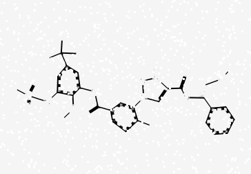 COC[C@@H](NC(=O)C1=CN(c2cc(C(=O)Nc3cc(C(C)(C)C)cc(NS(C)(=O)=O)c3OC)ccc2C)NN1)c1ccccc1